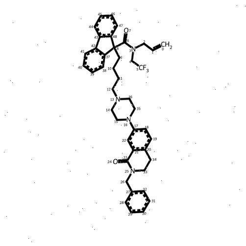 C=CCN(CC(F)(F)F)C(=O)C1(CCCCN2CCN(c3ccc4c(c3)C(=O)N(Cc3ccccc3)CC4)CC2)c2ccccc2-c2ccccc21